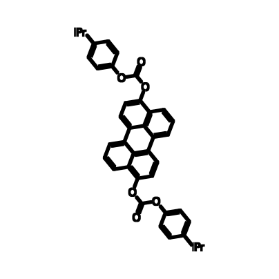 CC(C)c1ccc(OC(=O)Oc2ccc3c4cccc5c(OC(=O)Oc6ccc(C(C)C)cc6)ccc(c6cccc2c63)c54)cc1